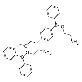 NCCOB(c1ccccc1)c1ccc(CCOCc2ccccc2B(OCCN)c2ccccc2)cc1